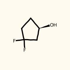 O[C@@H]1CCC(F)(F)C1